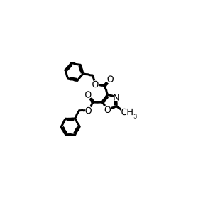 Cc1nc(C(=O)OCc2ccccc2)c(C(=O)OCc2ccccc2)o1